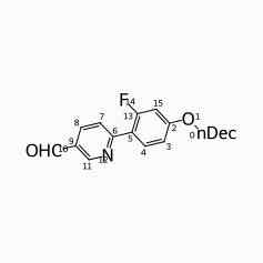 CCCCCCCCCCOc1ccc(-c2ccc(C=O)cn2)c(F)c1